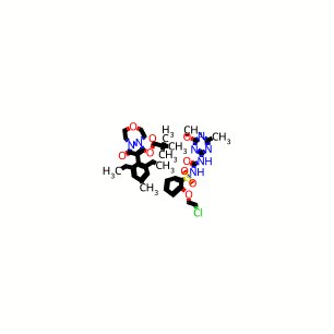 CCc1cc(C)cc(CC)c1-c1c(OC(=O)C(C)(C)C)n2n(c1=O)CCOCC2.COc1nc(C)nc(NC(=O)NS(=O)(=O)c2ccccc2OCCCl)n1